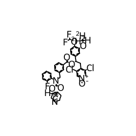 [2H]C([2H])([2H])Oc1cc(C(Cc2c(Cl)c[n+]([O-])cc2Cl)OC(=O)c2cccc(CN(C(=O)O[C@H]3CN4CCC3CC4)c3ccccc3F)c2)ccc1OC(F)F